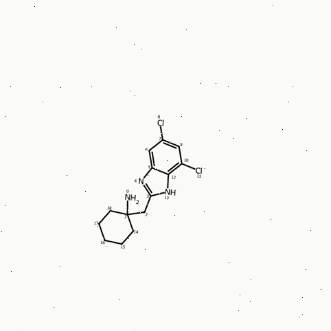 NC1(Cc2nc3cc(Cl)cc(Cl)c3[nH]2)CCCCC1